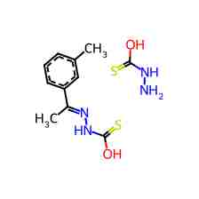 CC(=NNC(O)=S)c1cccc(C)c1.NNC(O)=S